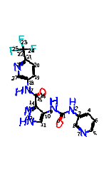 O=C(Nc1cccnc1)Nc1c[nH]nc1C(=O)Nc1ccc(C(F)(F)F)nc1